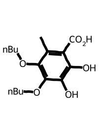 CCCCOc1c(C)c(C(=O)O)c(O)c(O)c1OCCCC